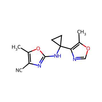 Cc1oc(NC2(c3ncoc3C)CC2)nc1C#N